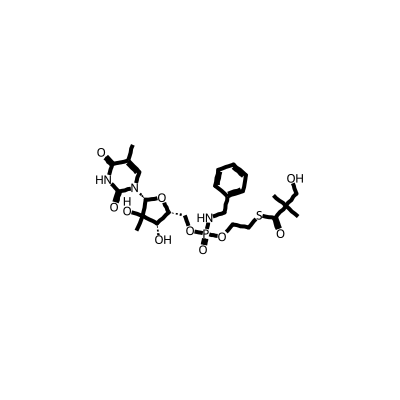 Cc1cn([C@@H]2O[C@H](COP(=O)(NCc3ccccc3)OCCSC(=O)C(C)(C)CO)[C@H](O)C2(C)O)c(=O)[nH]c1=O